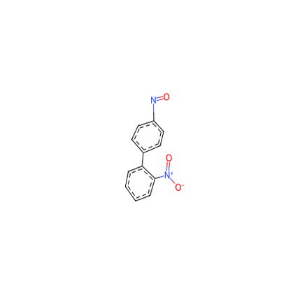 O=Nc1ccc(-c2ccccc2[N+](=O)[O-])cc1